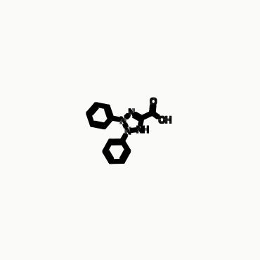 O=C(O)C1=NN(c2ccccc2)N(c2ccccc2)N1